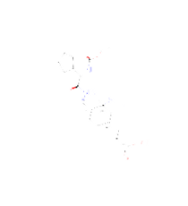 CC(C)(C)OC(=O)N[C@H](C(=O)NC[C@@H]1CC[C@@H](CCB(O)O)C[C@]1(N)C(=O)O)C1CCCC1